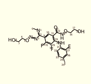 CN=C(N=NOCCO)c1cc(C(=O)NOCCO)c(Nc2ccc(I)cc2F)c(F)c1F